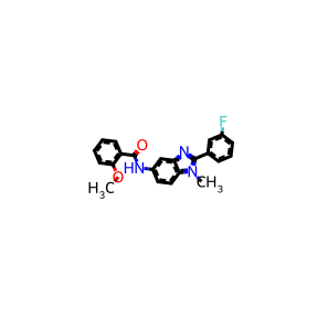 COc1ccccc1C(=O)Nc1ccc2c(c1)nc(-c1cccc(F)c1)n2C